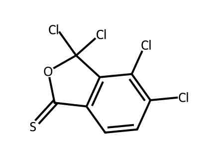 S=C1OC(Cl)(Cl)c2c1ccc(Cl)c2Cl